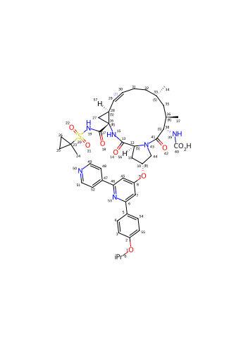 CC(C)Oc1ccc(-c2cc(O[C@@H]3C[C@H]4C(=O)N[C@]5(C(=O)NS(=O)(=O)C6(C)CC6)C[C@H]5/C=C\CC[C@H](C)C[C@@H](C)[C@H](NC(=O)O)C(=O)N4C3)cc(-c3ccncc3)n2)cc1